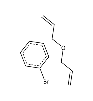 Brc1ccccc1.C=CCOCC=C